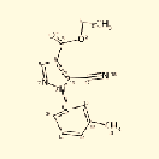 CCOC(=O)c1cnn(-c2cccc(C)c2)c1C#N